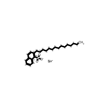 CCCCCCCCCCCCCCCc1ccc2ccccc2c1S(=O)(=O)[O-].[Na+]